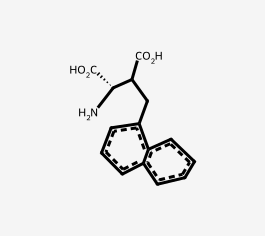 N[C@H](C(=O)O)C(Cc1cccc2ccccc12)C(=O)O